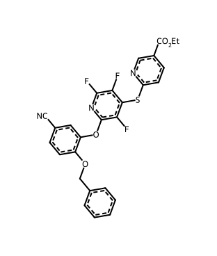 CCOC(=O)c1ccc(Sc2c(F)c(F)nc(Oc3cc(C#N)ccc3OCc3ccccc3)c2F)nc1